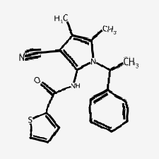 Cc1c(C#N)c(NC(=O)c2cccs2)n(C(C)c2ccccc2)c1C